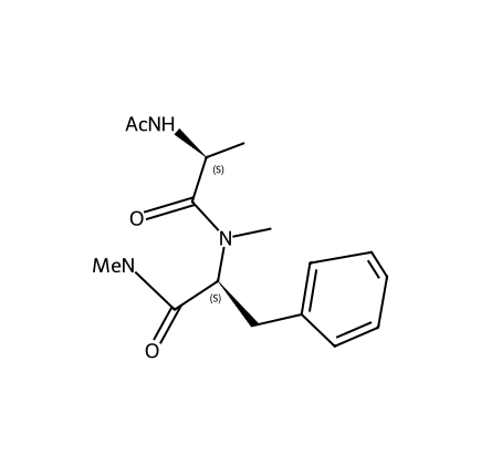 CNC(=O)[C@H](Cc1ccccc1)N(C)C(=O)[C@H](C)NC(C)=O